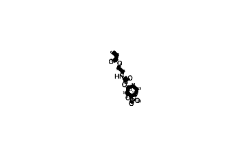 C=CC(=O)OCCNC(=O)OC1CCC2CC1OS2(=O)=O